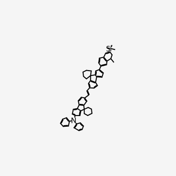 CC1CC([Si](C)(C)C)=Cc2ccc(-c3ccc4c(c3)C3(CCCCC3)c3cc(/C=C/c5ccc6c(c5)C5(CCCCC5)c5cc(N(c7ccccc7)c7ccccc7)ccc5-6)ccc3-4)cc21